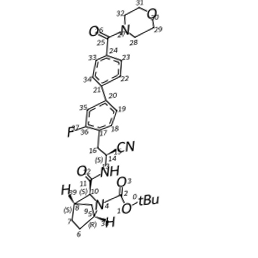 CC(C)(C)OC(=O)N1[C@@H]2CC[C@@H](C2)[C@H]1C(=O)N[C@H](C#N)Cc1ccc(-c2ccc(C(=O)N3CCOCC3)cc2)cc1F